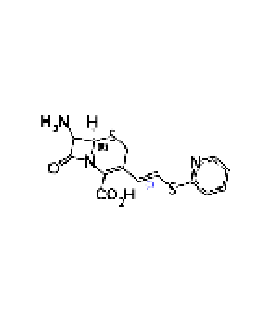 NC1C(=O)N2C(C(=O)O)=C(/C=C/Sc3ccccn3)CS[C@H]12